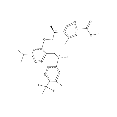 COC(=O)c1cc(C)c([C@H](C)COc2cc(C(C)C)cnc2C[C@H](C)c2cnc(C(F)(F)F)c(C)c2)cn1